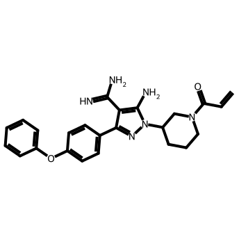 C=CC(=O)N1CCCC(n2nc(-c3ccc(Oc4ccccc4)cc3)c(C(=N)N)c2N)C1